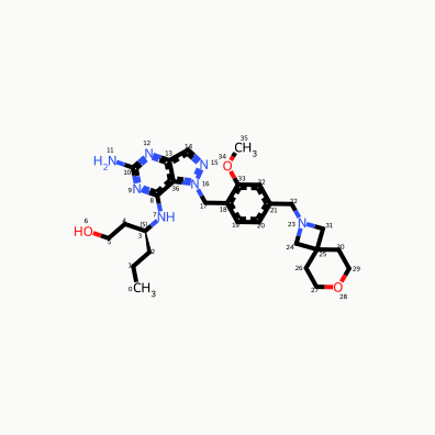 CCC[C@@H](CCO)Nc1nc(N)nc2cnn(Cc3ccc(CN4CC5(CCOCC5)C4)cc3OC)c12